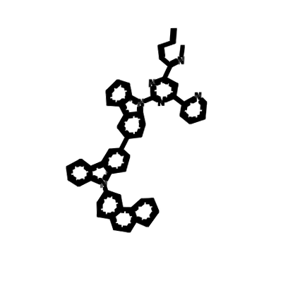 C=C/C=C\C(=N/C)c1cc(-c2ccccn2)nc(-n2c3ccccc3c3cc(-c4ccc5c(c4)c4ccccc4n5-c4ccc5ccc6ccccc6c5c4)ccc32)n1